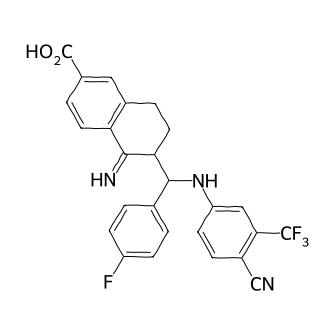 N#Cc1ccc(NC(c2ccc(F)cc2)C2CCc3cc(C(=O)O)ccc3C2=N)cc1C(F)(F)F